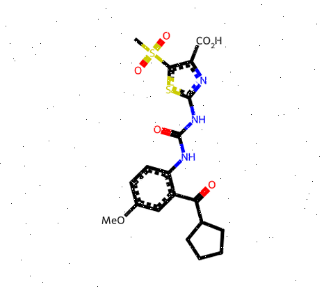 COc1ccc(NC(=O)Nc2nc(C(=O)O)c(S(C)(=O)=O)s2)c(C(=O)C2CCCC2)c1